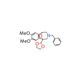 COc1cc2c(cc1OC)C1(C3OCCO3)CN(Cc3ccccc3)CC2O1